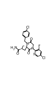 NC(=O)[C@H]1C[C@@]2(C1)C(=O)N(c1ncc(Cl)cc1F)CC(=O)N2Cc1ccc(Cl)cc1